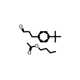 CC(C)(C)c1ccc(CCC=O)cc1.CCCCOC(C)=O